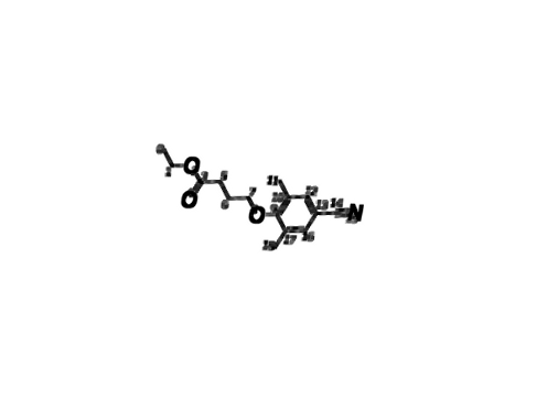 CCOC(=O)CCCOc1c(C)cc(C#N)cc1C